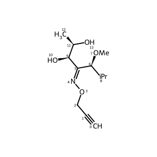 C#CCO/N=C(\[C@@H](OC)C(C)C)[C@@H](O)[C@@H](C)O